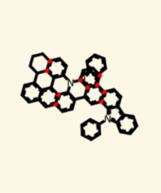 c1ccc(-n2c3ccccc3c3ccc(-c4cccc(N(c5ccccc5-c5cccc6c5oc5ccccc56)c5ccccc5-c5cccc6cccc(C7CCCCC7)c56)c4)cc32)cc1